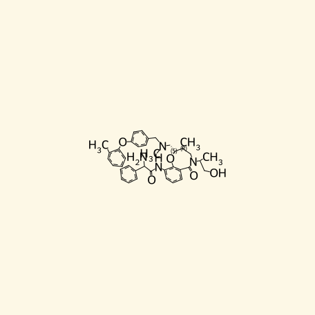 Cc1ccccc1Oc1ccc(CN(C)C[C@H]2Oc3c(NC(=O)C(N)c4ccccc4)cccc3C(=O)N(C(C)CO)C[C@H]2C)cc1